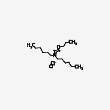 CCCCCC[N](CCCCCC)[Ti+2][O]CCC.[Cl-].[Cl-]